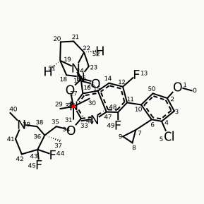 COc1cc(Cl)c(C2CC2)c(-c2c(F)cc3c(N4C[C@H]5CC[C@@H](C4)N5C(=O)OC(C)(C)C)nc(OC[C@]4(C)CN(C)CCC4(F)F)nc3c2F)c1